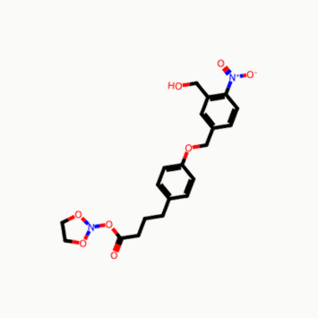 O=C(CCCc1ccc(OCc2ccc([N+](=O)[O-])c(CO)c2)cc1)ON1OCCO1